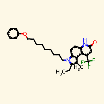 CCc1c(C)c2c3c(C(F)(F)F)cc(=O)[nH]c3ccc2n1CCCCCCCCCOc1ccccc1